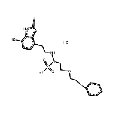 CCCS(=O)(=O)N(CCOCCSc1ccccc1)NCCc1ccc(O)c2[nH]c(=O)sc12.Cl